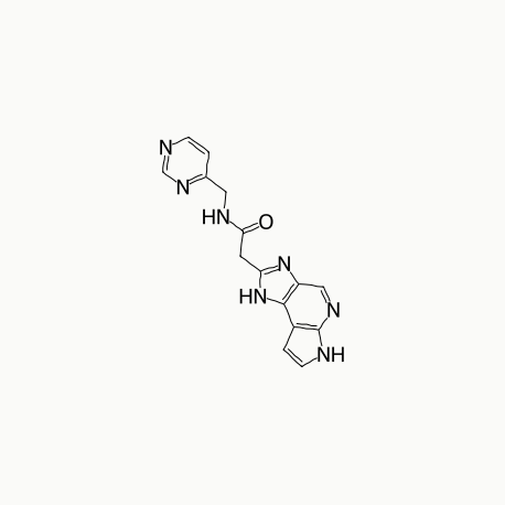 O=C(Cc1nc2cnc3[nH]ccc3c2[nH]1)NCc1ccncn1